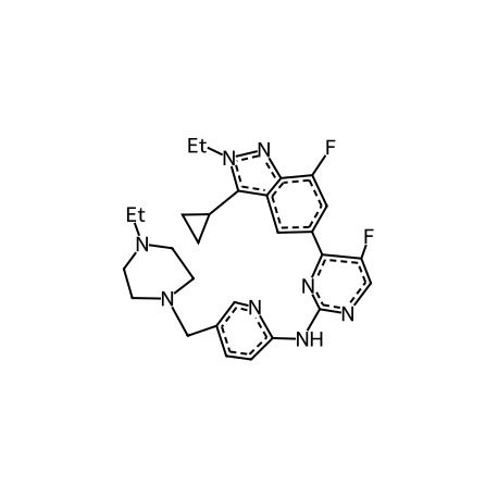 CCN1CCN(Cc2ccc(Nc3ncc(F)c(-c4cc(F)c5nn(CC)c(C6CC6)c5c4)n3)nc2)CC1